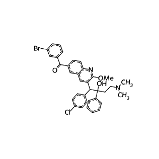 COc1nc2ccc(C(=O)c3cccc(Br)c3)cc2cc1C(c1ccc(Cl)cc1)C(O)(CCN(C)C)c1ccccc1